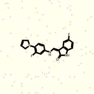 O=C1Nc2ccc(F)cc2C1=CNc1ccc(N2CC=CC2)c(F)c1